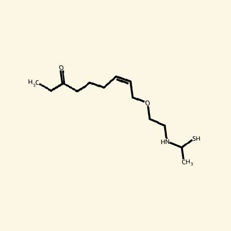 CCC(=O)CCC/C=C\COCCNC(C)S